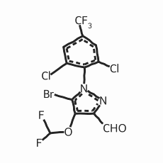 O=Cc1nn(-c2c(Cl)cc(C(F)(F)F)cc2Cl)c(Br)c1OC(F)F